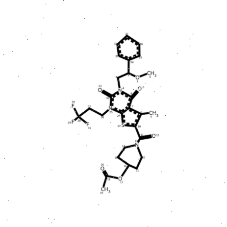 COC(Cn1c(=O)c2c(C)c(C(=O)N3CCC(OC(C)=O)CC3)sc2n(CCC(F)(F)F)c1=O)c1ccccc1